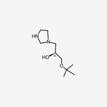 CC(C)(C)OC[C@@H](O)CN1CCNC1